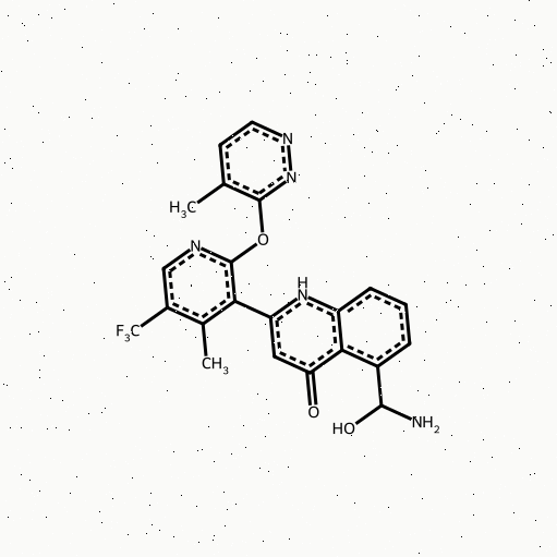 Cc1ccnnc1Oc1ncc(C(F)(F)F)c(C)c1-c1cc(=O)c2c(C(N)O)cccc2[nH]1